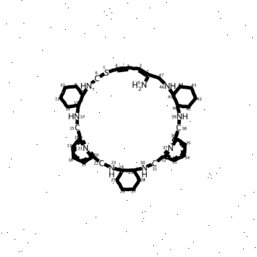 N/C1=C\C=C/SCNC2CCCCC2NCc2cccc(n2)CNC2CCCCC2NCc2cccc(n2)CNC2CCCCC2NC1